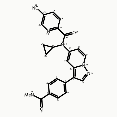 CNC(=O)c1ccc(-c2cnn3ccc(N(C(=O)c4ccc(C#N)cn4)C4CC4)cc23)cc1